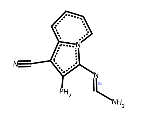 N#Cc1c(P)c(/N=C/N)n2ccccc12